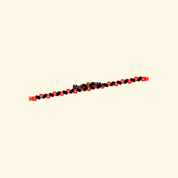 CSCCSCCSC.OCCOCCOCCOCCOCCOCCOCCOCCOCCOCCOCCOCCOCCOCCOCCOCCO